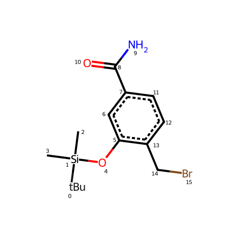 CC(C)(C)[Si](C)(C)Oc1cc(C(N)=O)ccc1CBr